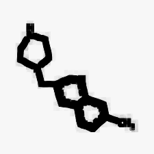 Cc1ccc2cc(CN3CCNCC3)cnc2c1